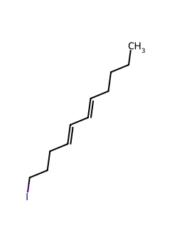 CCCCC=CC=CCCCI